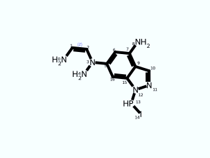 N/C=C\N(N)c1cc(N)c2cnn(PI)c2c1